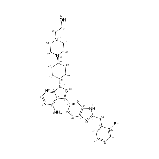 Nc1ncnc2c1c(-c1ccc3cc(Cc4ccccc4F)[nH]c3c1)nn2[C@H]1CC[C@H](N2CCN(CCO)CC2)CC1